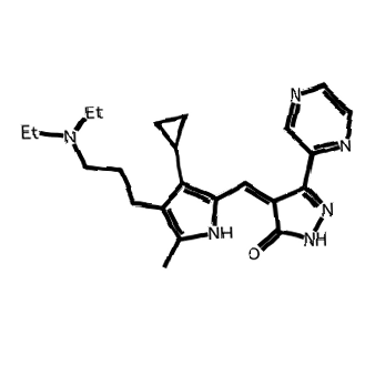 CCN(CC)CCCc1c(C)[nH]c(C=C2C(=O)NN=C2c2cnccn2)c1C1CC1